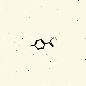 C=C([SiH3])c1ccc(F)cc1